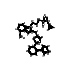 Nc1ncnc2c1nc(SC1=COC(c3ccccc3-c3cc[nH]n3)O1)n2CCCS(=O)(=O)NC1CC1